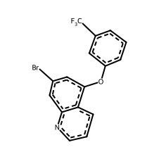 FC(F)(F)c1cccc(Oc2cc(Br)cc3ncccc23)c1